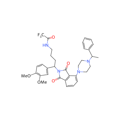 COc1ccc(C(CCCNC(=O)C(F)(F)F)N2C(=O)c3cccc(N4CCN(C(C)c5ccccc5)CC4)c3C2=O)cc1OC